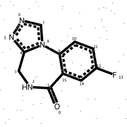 O=C1NCc2nncn2-c2ccc(F)cc21